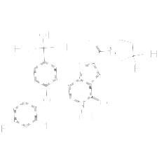 Cn1cc(-c2cc(C(C)(C)O)ccc2Oc2ccc(F)cc2F)c2sc(C(=O)N3CCC(C)(F)C3)cc2c1=O